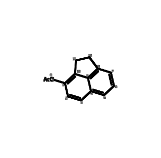 CC(=O)Oc1ccc2cccc3c2c1CC3